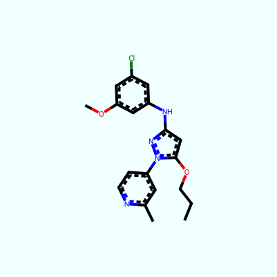 CCCOc1cc(Nc2cc(Cl)cc(OC)c2)nn1-c1ccnc(C)c1